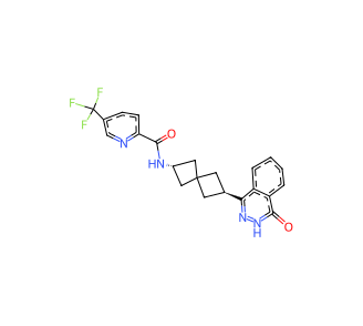 O=C(N[C@H]1CC2(C1)C[C@H](c1n[nH]c(=O)c3ccccc31)C2)c1ccc(C(F)(F)F)cn1